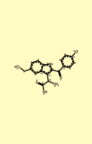 CCc1ccc2[nH]c(C(=O)c3ccc(Cl)cc3)c(C(C)C(=O)O)c2c1